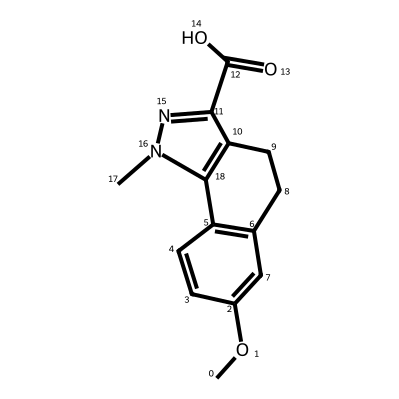 COc1ccc2c(c1)CCc1c(C(=O)O)nn(C)c1-2